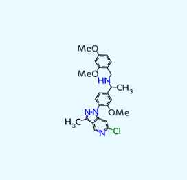 COc1ccc(CNC(C)c2ccc(-n3nc(C)c4cnc(Cl)cc43)c(OC)c2)c(OC)c1